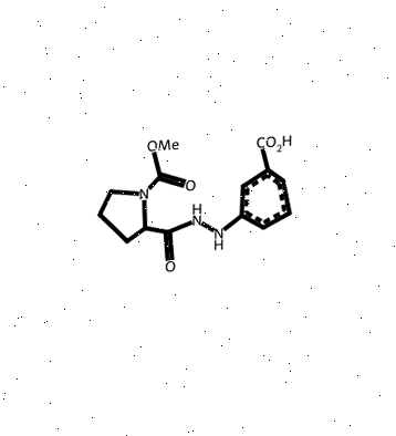 COC(=O)N1CCCC1C(=O)NNc1cccc(C(=O)O)c1